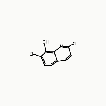 Oc1c(Cl)ccc2ccc(Cl)nc12